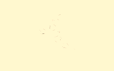 C=CC(=O)Nc1cc(Nc2nccc(-n3cc(CN4CC(O)C4)c(C)n3)n2)cc(-c2cnn(C)c2)c1